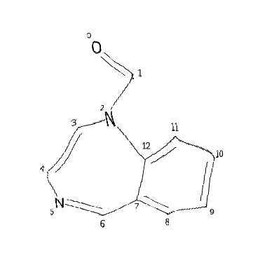 O=[C]N1C=CN=Cc2ccccc21